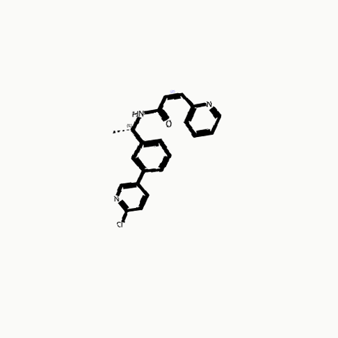 C[C@H](NC(=O)/C=C\c1ccccn1)c1cccc(-c2ccc(Cl)nc2)c1